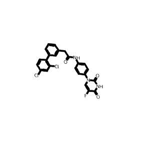 O=C(Cc1cccc(-c2ccc(Cl)cc2Cl)c1)Nc1ccc(-n2cc(F)c(=O)[nH]c2=O)cc1